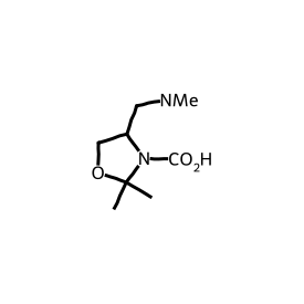 CNCC1COC(C)(C)N1C(=O)O